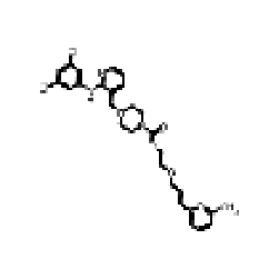 Cc1cccc(CCCOCCOC(=O)N2CCN(Cc3cccnc3Nc3cc(Cl)cc(Cl)c3)CC2)n1